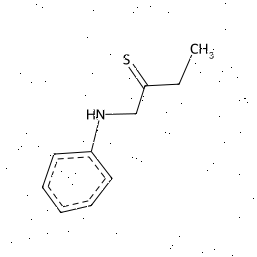 CCC(=S)CNc1ccccc1